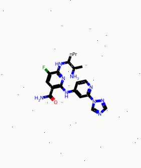 CCCC(Nc1nc(Nc2ccnc(-n3cncn3)c2)c(C(N)=O)cc1F)C(C)N